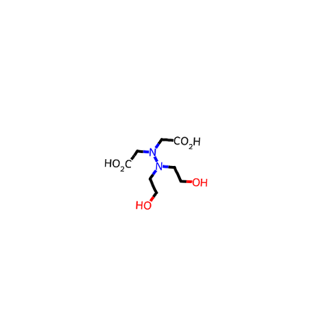 O=C(O)CN(CC(=O)O)N(CCO)CCO